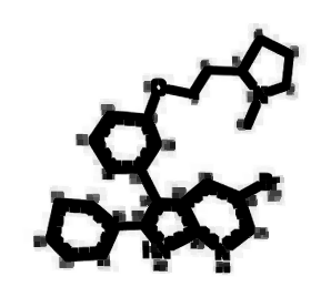 CN1CCCC1CCOc1cccc(-c2c(-c3ccccc3)[nH]c3ncc(Br)cc23)c1